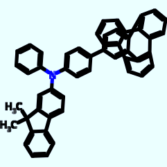 CC1(C)c2ccccc2-c2ccc(N(c3ccccc3)c3ccc(-c4ccc5c(c4)-c4c6cccc4-c4cccc-5c4-c4ccccc4-6)cc3)cc21